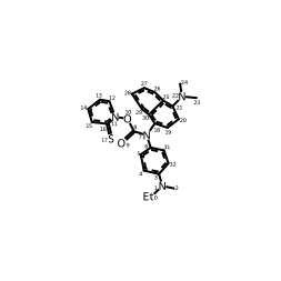 CCN(C)c1ccc(N(C(=O)On2ccccc2=S)c2ccc(N(C)C)c3ccccc23)cc1